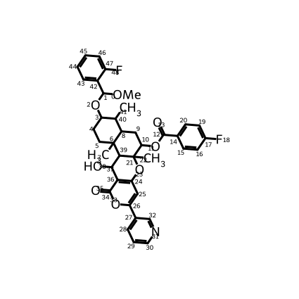 COC(OC1CCC2(C)C(CC(OC(=O)c3ccc(F)cc3)C3(C)Oc4cc(-c5cccnc5)oc(=O)c4C(O)C23)C1C)c1ccccc1F